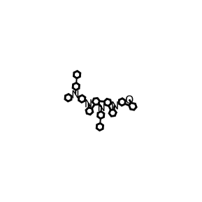 c1ccc(-c2ccc(N(c3ccccc3)c3ccc(-n4c5ccccc5c5c4ccc4c6ccc7c(c8ccccc8n7-c7ccc8oc9ccccc9c8c7)c6n(-c6ccc(-c7ccccc7)cc6)c45)cc3)cc2)cc1